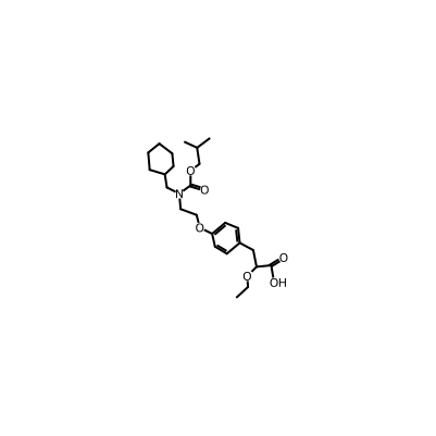 CCOC(Cc1ccc(OCCN(CC2CCCCC2)C(=O)OCC(C)C)cc1)C(=O)O